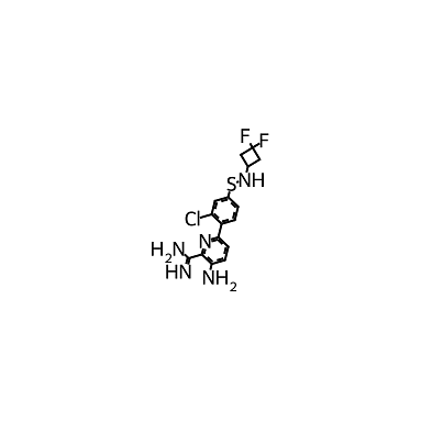 N=C(N)c1nc(-c2ccc(SNC3CC(F)(F)C3)cc2Cl)ccc1N